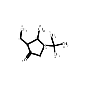 CCC1C(=O)CN(C(C)(C)C)C1C